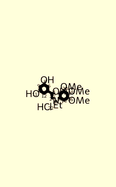 CCN(C[C@H](O)c1cc(O)cc(O)c1)c1cc(OC)c(OC)c(OC)c1.Cl